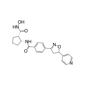 O=C(N[C@@H]1CCC[C@@H]1C(=O)NO)c1ccc(C2=NOC(c3ccncc3)C2)cc1